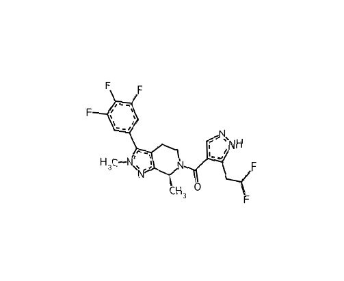 C[C@H]1c2nn(C)c(-c3cc(F)c(F)c(F)c3)c2CCN1C(=O)c1cn[nH]c1CC(F)F